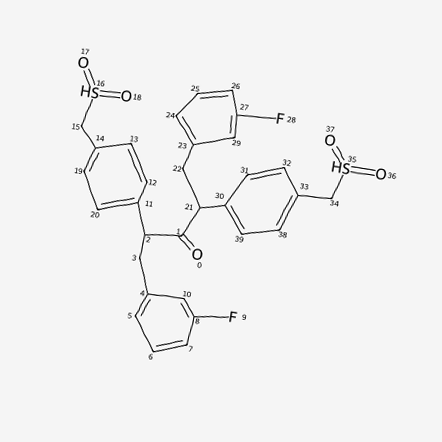 O=C(C(Cc1cccc(F)c1)c1ccc(C[SH](=O)=O)cc1)C(Cc1cccc(F)c1)c1ccc(C[SH](=O)=O)cc1